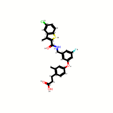 Cc1cc(Oc2cc(F)cc(CNC(=O)c3sc4ccc(Cl)cc4c3C)c2)ccc1CCC(=O)O